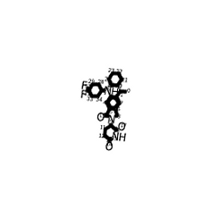 CC(c1ccc2c(c1)CN(C1CCC(=O)NC1=O)C2=O)[C@H]1CCCC[C@@H]1NC1CCC(F)(F)CC1